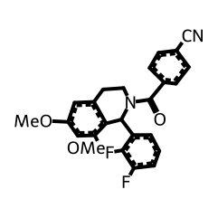 COc1cc2c(c(OC)c1)C(c1cccc(F)c1F)N(C(=O)c1ccc(C#N)cc1)CC2